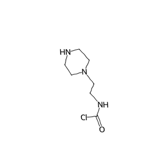 O=C(Cl)NCCN1CCNCC1